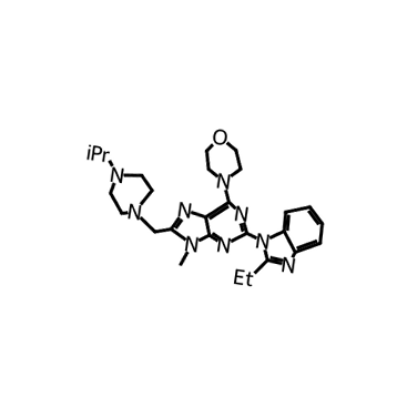 CCc1nc2ccccc2n1-c1nc(N2CCOCC2)c2nc(CN3CCN(C(C)C)CC3)n(C)c2n1